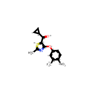 Cc1nc(Oc2ccc([N+](=O)[O-])c(C(F)(F)F)c2)c(C(=O)[C]2CC2)s1